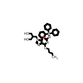 CCCCOc1nc(N=P(c2ccccc2)(c2ccccc2)c2ccccc2)nc2c1ncn2CC(CO)CO